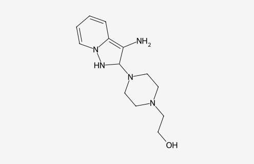 NC1=C2C=CC=CN2NC1N1CCN(CCO)CC1